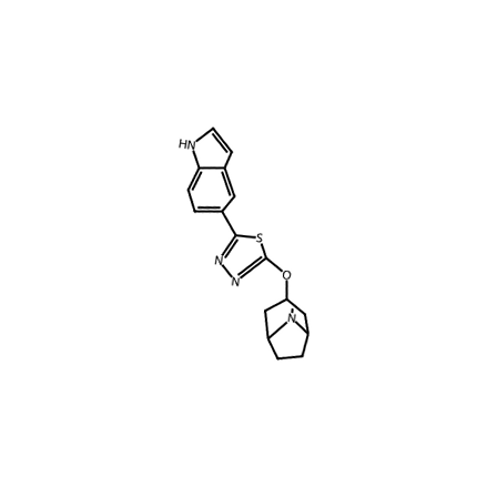 CN1C2CCC1CC(Oc1nnc(-c3ccc4[nH]ccc4c3)s1)C2